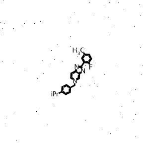 Cc1ccc(F)c(-c2nc3ccn(Cc4ccc(C(C)C)cc4)cc-3n2)c1